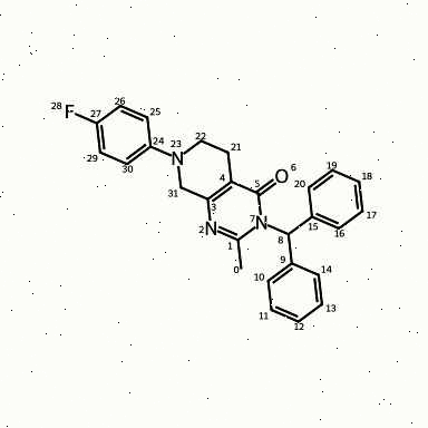 Cc1nc2c(c(=O)n1C(c1ccccc1)c1ccccc1)CCN(c1ccc(F)cc1)C2